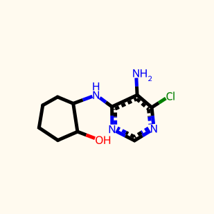 Nc1c(Cl)ncnc1NC1CCCCC1O